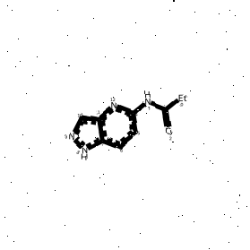 CCC(=O)Nc1ccc2[nH]ncc2n1